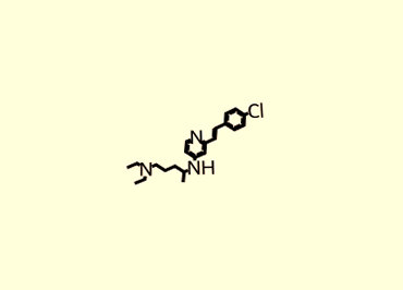 CCN(CC)CCCC(C)Nc1ccnc(/C=C/c2ccc(Cl)cc2)c1